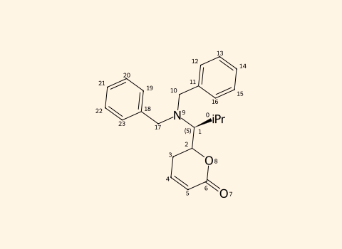 CC(C)[C@@H](C1CC=CC(=O)O1)N(Cc1ccccc1)Cc1ccccc1